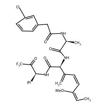 C=C(/C=C\C(=C/C)OC)[C@H](NC(=O)[C@H](C)NC(=O)Cc1cccc(Cl)c1)C(=O)N[C@H](C(=O)C(F)(F)F)C(C)C